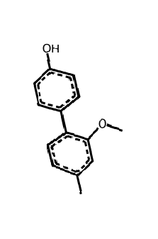 COc1cc(C)ccc1-c1ccc(O)cc1